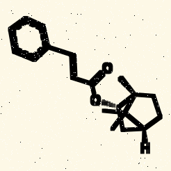 CC1(C)[C@@H]2CC[C@@]1(C)[C@@H](OC(=O)/C=C/c1ccccc1)C2